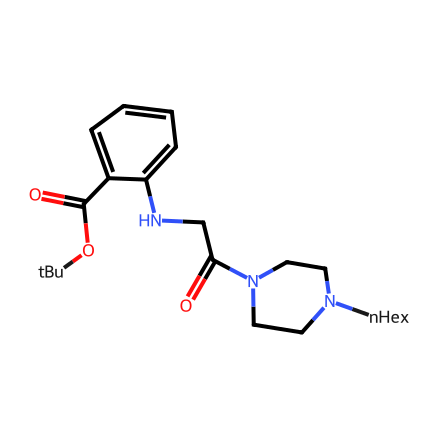 CCCCCCN1CCN(C(=O)CNc2ccccc2C(=O)OC(C)(C)C)CC1